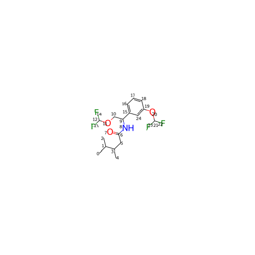 CC(C)C(C)CC(=O)NC(COC(F)F)c1cccc(OC(F)F)c1